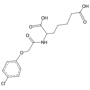 O=C(O)CCCCC(NC(=O)COc1ccc(Cl)cc1)C(=O)O